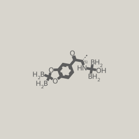 BC(B)(O)N[C@@H](C)C(=O)c1ccc2c(c1)OC(B)(B)O2